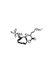 CCCCCCCCCCCCC(Oc1ccccc1NS(=O)(=O)CCCC)C(=O)Cl